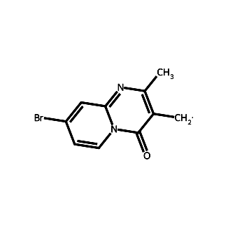 [CH2]c1c(C)nc2cc(Br)ccn2c1=O